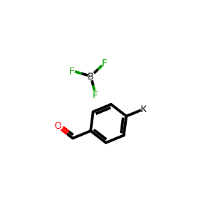 FB(F)F.O=Cc1cc[c]([K])cc1